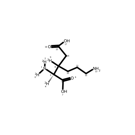 [2H]N([2H])[C@]([2H])(C(=O)O)C([2H])(CCCN)CC(=O)O